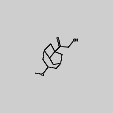 COC1CC2CC3C(C1)CC3(C(=O)CO)C2